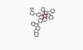 N#Cc1cccc(-c2ccc(-n3c4ccccc4c4c5sc6ccccc6c5ccc43)c(-c3cc(-n4c5ccccc5c5c6sc7ccccc7c6ccc54)ccc3-c3nc(-c4ccccc4)nc(-c4ccccc4)n3)c2)c1